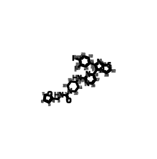 O=C(NCc1ccco1)N1CCC(Nc2nccc(-c3c(-c4ccc(F)c(F)c4)nc4sccn34)n2)CC1